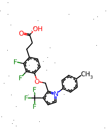 Cc1ccc(-n2ccc(C(F)(F)F)c2COc2ccc(CCC(=O)O)c(F)c2F)cc1